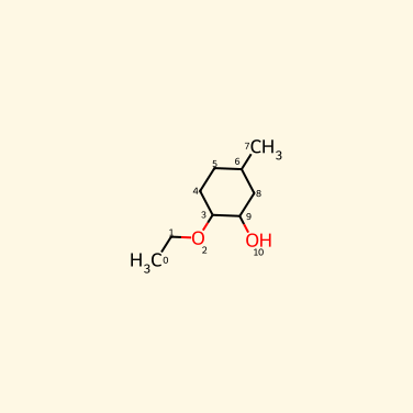 CCOC1CCC(C)CC1O